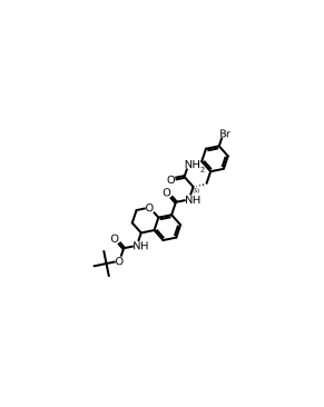 CC(C)(C)OC(=O)NC1CCOc2c(C(=O)N[C@@H](Cc3ccc(Br)cc3)C(N)=O)cccc21